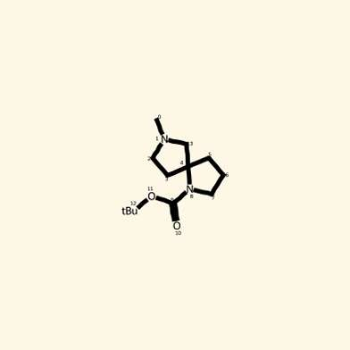 CN1CCC2(CCCN2C(=O)OC(C)(C)C)C1